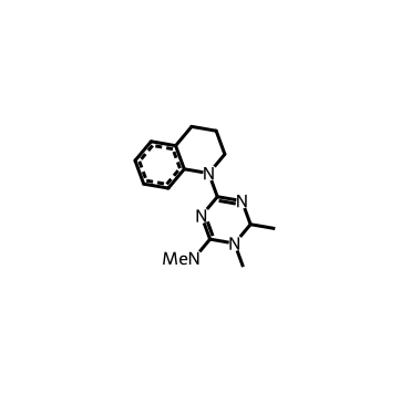 CNC1=NC(N2CCCc3ccccc32)=NC(C)N1C